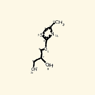 Cc1csc(OCC(O)CO)n1